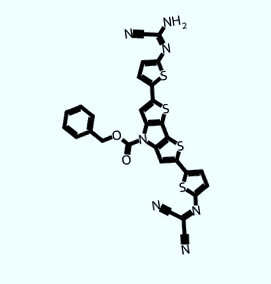 N#CC(C#N)=Nc1ccc(-c2cc3c(s2)c2sc(-c4ccc(/N=C(/N)C#N)s4)cc2n3C(=O)OCc2ccccc2)s1